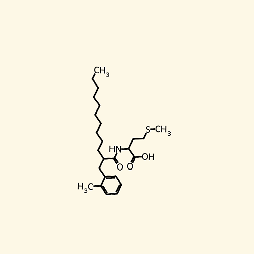 CCCCCCCCCCC(Cc1ccccc1C)C(=O)NC(CCSC)C(=O)O